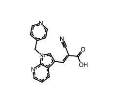 N#C/C(=C\c1cn(Cc2ccncc2)c2ncccc12)C(=O)O